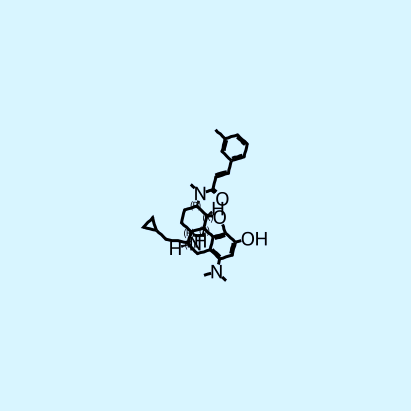 Cc1cccc(C=CC(=O)N(C)[C@@H]2CC[C@H]3[C@H]4Cc5c(N(C)C)cc(O)c6c5[C@@]3(CCN4CC3CC3)[C@H]2O6)c1